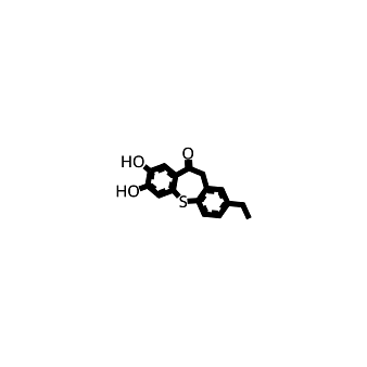 CCc1ccc2c(c1)CC(=O)c1cc(O)c(O)cc1S2